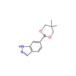 CC1(C)COB(c2ccc3cn[nH]c3c2)OC1